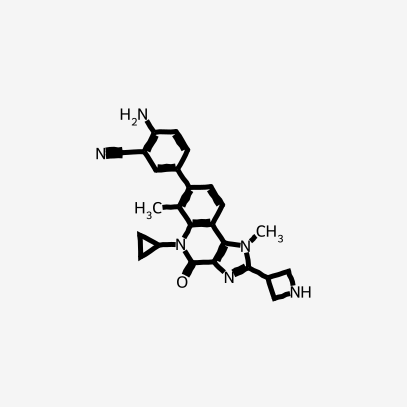 Cc1c(-c2ccc(N)c(C#N)c2)ccc2c3c(nc(C4CNC4)n3C)c(=O)n(C3CC3)c12